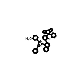 CC1C=CC=C(c2nc(-c3c(-c4cccc5c4Oc4ccccc4C54c5ccccc5-c5ccccc54)ccc4ccccc34)n3c2C3c2ccccc2)C1